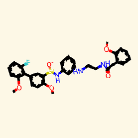 COc1ccccc1C(=O)NCCNc1cccc(N[S+]([O-])c2cc(-c3c(F)cccc3OC)ccc2OC)c1